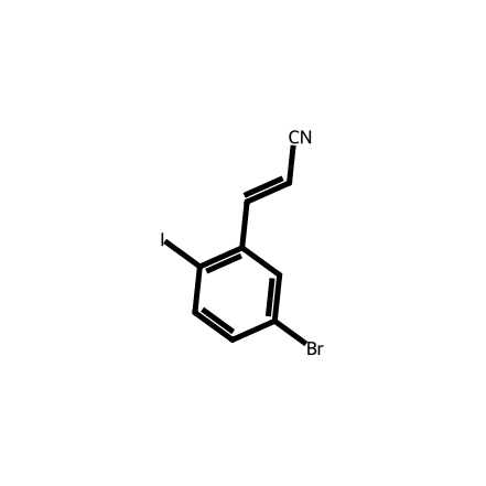 N#CC=Cc1cc(Br)ccc1I